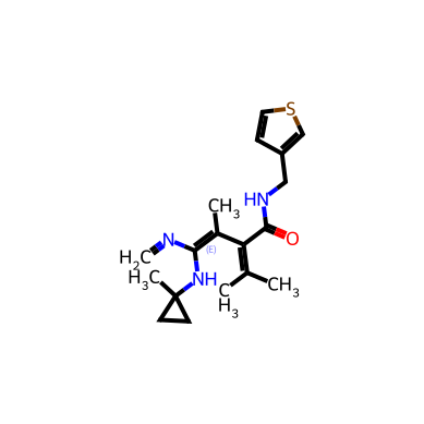 C=N/C(NC1(C)CC1)=C(\C)C(C(=O)NCc1ccsc1)=C(C)C